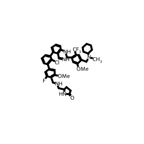 COc1cc(CNc2cccc(-c3cccc(-c4cc(F)c(CNCC5CCC(=O)N5)c(OC)c4)c3Cl)c2C=N)c(C(F)(F)F)cc1CN(C)C1CCCCC1